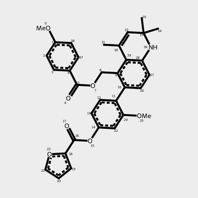 COc1ccc(C(=O)OCc2c(-c3ccc(OC(=O)c4ccco4)cc3OC)ccc3c2C(C)=CC(C)(C)N3)cc1